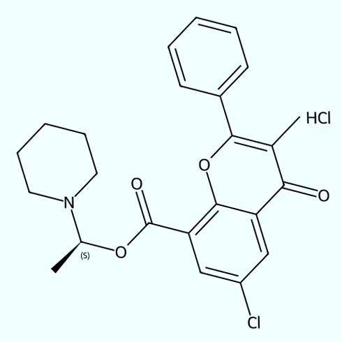 Cc1c(-c2ccccc2)oc2c(C(=O)O[C@@H](C)N3CCCCC3)cc(Cl)cc2c1=O.Cl